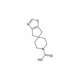 O=C(O)N1CCC2(CC1)Cc1ncsc1C2